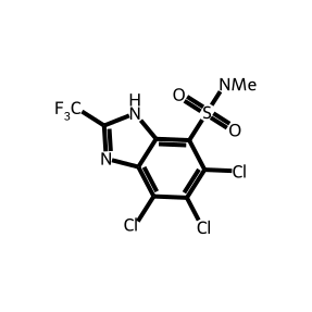 CNS(=O)(=O)c1c(Cl)c(Cl)c(Cl)c2nc(C(F)(F)F)[nH]c12